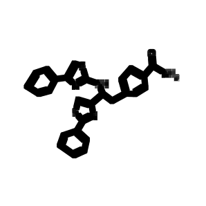 NC(=O)c1ccc(CC(Nc2nc(-c3ccccc3)cs2)c2csc(-c3ccccc3)n2)cc1